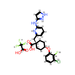 O=C(O)C(F)(F)F.O=C(O)[C@]1(Cc2cccc(Nc3cc[nH]n3)n2)CC[C@@H](Oc2cccc(Cl)c2F)CC1